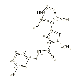 Cc1cc(-c2c(O)cc[nH]c2=O)sc1C(=O)NCc1cccc(F)c1